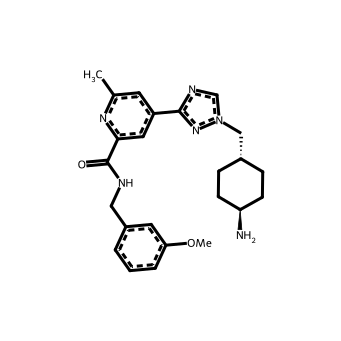 COc1cccc(CNC(=O)c2cc(-c3ncn(C[C@H]4CC[C@H](N)CC4)n3)cc(C)n2)c1